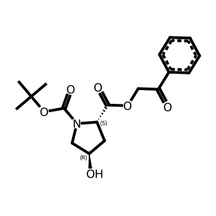 CC(C)(C)OC(=O)N1C[C@H](O)C[C@H]1C(=O)OCC(=O)c1ccccc1